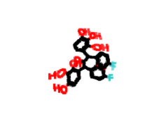 O=C(C(c1ccc(F)cc1)c1ccc(O)c(O)c1O)C(c1ccc(F)cc1)c1ccc(O)c(O)c1O